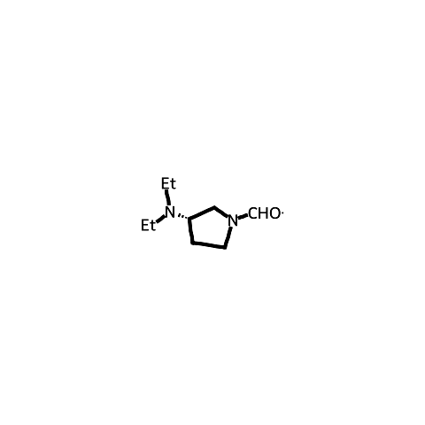 CCN(CC)[C@H]1CCN([C]=O)C1